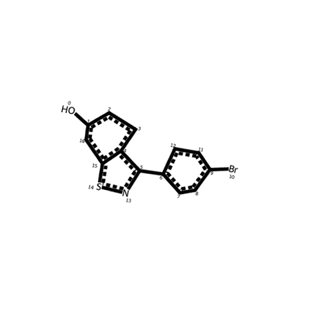 Oc1ccc2c(-c3ccc(Br)cc3)nsc2c1